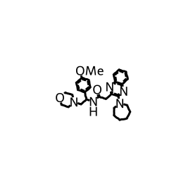 COc1ccc(C(CN2CCOCC2)NC(=O)Cc2nc3ccccc3nc2N2CCCCCC2)cc1